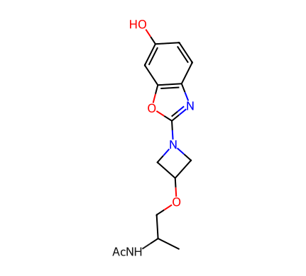 CC(=O)NC(C)COC1CN(c2nc3ccc(O)cc3o2)C1